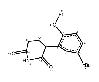 CCOc1ccc(C(C)(C)C)cc1C1CCC(=O)NC1=O